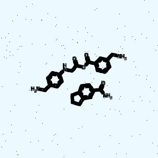 NC(=O)c1ccc2c(c1)CCC2.NCc1ccc(NCC(=O)OC(=O)c2cccc(CN)c2)cc1